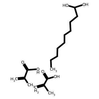 C=C(C)C(=O)O.C=C(C)C(=O)O.CCCCCCCCCC(O)O